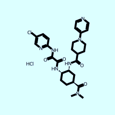 CN(C)C(=O)[C@H]1CC[C@H](NC(=O)C(=O)Nc2ccc(Cl)cn2)[C@H](NC(=O)C2CCN(c3ccncc3)CC2)C1.Cl